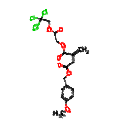 C=C(CC(=O)OCc1ccc(OC)cc1)C(=O)OCC(=O)OCC(Cl)(Cl)Cl